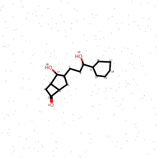 O=C1CC2C1CC(CCC(O)C1CCCCC1)C2O